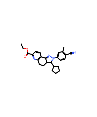 CCOC(=O)c1ccc2c(n1)CCC1C2=NN(c2ccc(C#N)c(C)c2)C1C1CCCC1